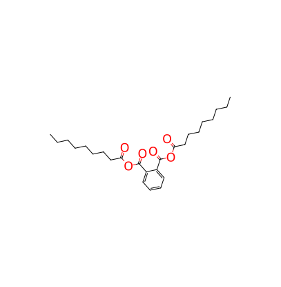 CCCCCCCCC(=O)OC(=O)c1ccccc1C(=O)OC(=O)CCCCCCCC